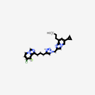 O=C(O)CCc1cc(C2CC2)cn2cc(Cn3cc(CCCc4ncn5ccc(Cl)c(F)c45)nn3)nc12